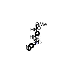 COCC(=O)Nc1ccc(Cl)c(NC2=NC(=O)/C(=C/c3ccc4ncccc4c3)S2)c1